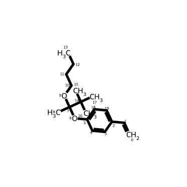 C=Cc1ccc(OC(C)(OCCCC)C(C)(C)C)cc1